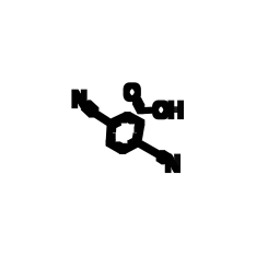 N#Cc1ccc(C#N)cc1.O=CO